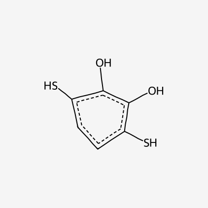 Oc1c(S)ccc(S)c1O